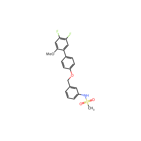 COc1cc(F)c(F)cc1-c1ccc(OCc2cccc(NS(C)(=O)=O)c2)cc1